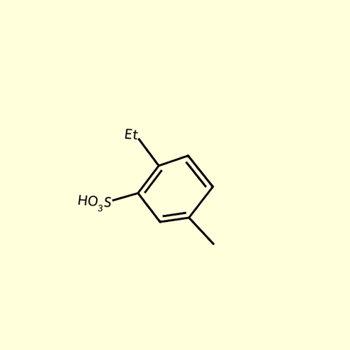 CCc1ccc(C)cc1S(=O)(=O)O